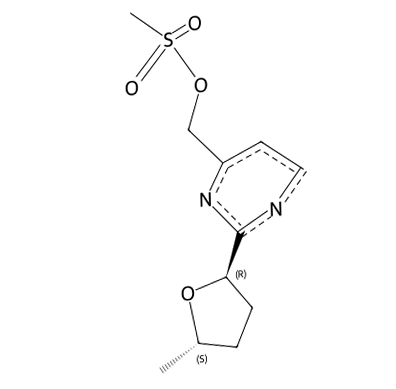 C[C@H]1CC[C@H](c2nccc(COS(C)(=O)=O)n2)O1